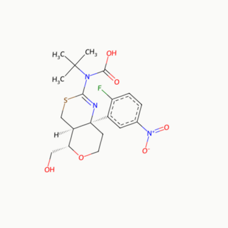 CC(C)(C)N(C(=O)O)C1=N[C@@]2(c3cc([N+](=O)[O-])ccc3F)CCO[C@H](CO)[C@H]2CS1